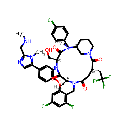 CNCc1ncc(-c2ccc(Oc3cc(Cl)cc(F)c3CN3C(=O)C[C@@H](CC(F)(F)F)C(=O)N4CCC[C@@](Cc5ccc(Cl)cc5)(C4)N(C)C(=O)[C@H](CO)NC(=O)[C@@H]3C)cc2)n1C